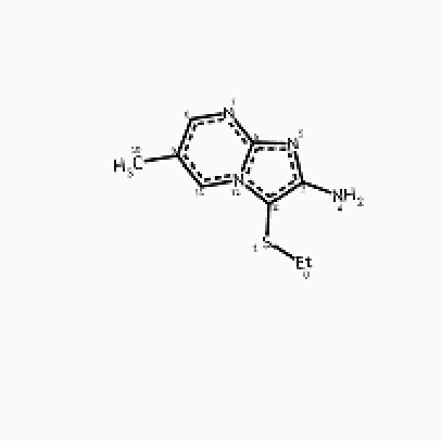 CCSc1c(N)nc2ncc(C)cn12